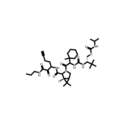 C#CCCC(NC(=O)C1[C@@H]2C(CN1C(=O)C(NC(=O)N[C@H](COC(=O)NC(C)C)C(C)(C)C)C1(C)CCCCC1)C2(C)C)C(=O)C(=O)NCCC